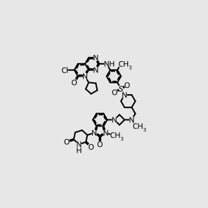 Cc1cc(S(=O)(=O)N2CCC(CN(C)C3CN(c4cccc5c4n(C)c(=O)n5C4CCC(=O)NC4=O)C3)CC2)ccc1Nc1ncc2cc(Cl)c(=O)n(C3CCCC3)c2n1